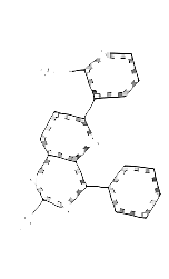 COc1ncccc1-c1ccc2nc(N)nc(-c3ccccc3)c2n1